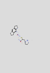 CN1CCC[C@]1(C)CC1C[SH](=O)(NC(=O)Nc2c3c(cc4c2CCC4)CCC3)NC1=O